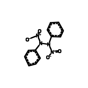 O=[N+]([O-])N(c1ccccc1)N(c1ccccc1)[N+](=O)[O-]